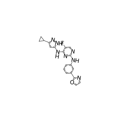 Fc1cnc(Nc2cccc(-c3ncco3)c2)nc1Nc1cc(C2CC2)n[nH]1